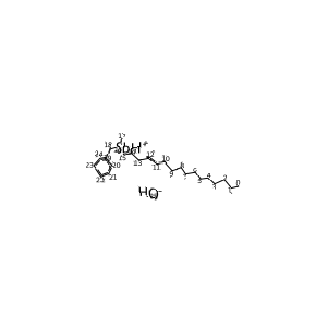 CCCCCCCCCCCCCCC[CH2][SbH+]([CH3])[CH2]c1ccccc1.[OH-]